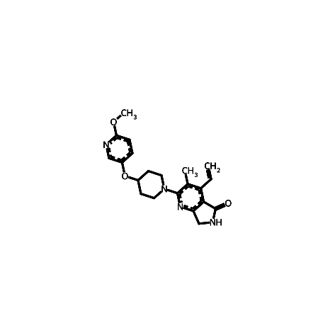 C=Cc1c(C)c(N2CCC(Oc3ccc(OC)nc3)CC2)nc2c1C(=O)NC2